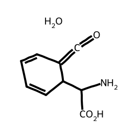 NC(C(=O)O)C1C=CC=CC1=C=O.O